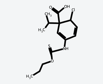 CCCOC(=S)NC1=CC(C(=O)O)(C(C)C)C(Cl)C=C1